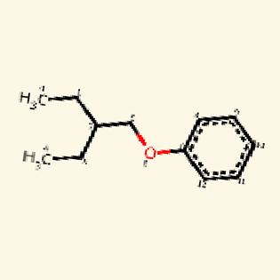 CCC(CC)COc1cc[c]cc1